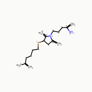 C=C(C)CCCCSC1CC(=C)N(CCCC(=C)N)C1=C